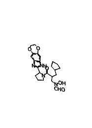 O=CN(O)CC(CC1CCCC1)C(=O)N1CCCC1c1nc2cc3c(cc2[nH]1)OCCO3